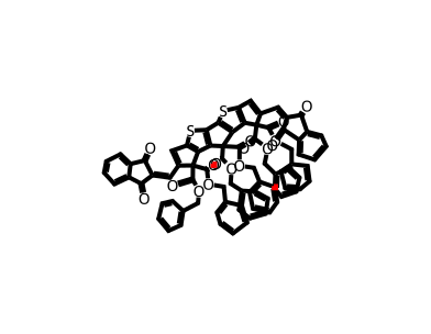 O=C1C(=CC2=Cc3sc4c(c3C2(C(=O)OCc2ccccc2)C(=O)OCc2ccccc2)C(C(=O)OCc2ccccc2)(C(=O)OCc2ccccc2)c2c-4sc3c2C(C(=O)OCc2ccccc2)(C(=O)OCc2ccccc2)C(C=C2C(=O)c4ccccc4C2=O)=C3)C(=O)c2ccccc21